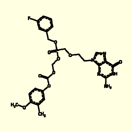 COc1ccc(OC(=O)OCOP(=O)(COCCn2cnc3c(=O)[nH]c(N)nc32)OCc2cccc(F)c2)cc1C